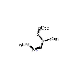 CCCCCCCCCCSN(/C=N\CCCCCCCCC)CCCCCCCCC